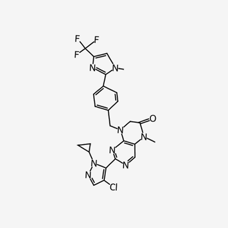 CN1C(=O)CN(Cc2ccc(-c3nc(C(F)(F)F)cn3C)cc2)c2nc(-c3c(Cl)cnn3C3CC3)ncc21